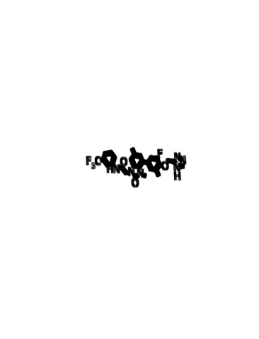 Cc1cc(-c2cc(C)c(OCc3nnc[nH]3)c(F)c2)c2c(c1)n(CC(=O)Nc1cccc(C(F)(F)F)c1)c(=O)n2C